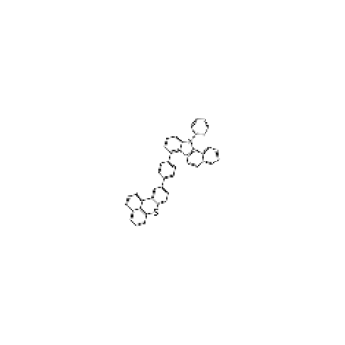 c1ccc(-n2c3cccc(-c4ccc(-c5ccc6c(c5)-c5cccc7cccc(c57)S6)cc4)c3c3ccc4ccccc4c32)cc1